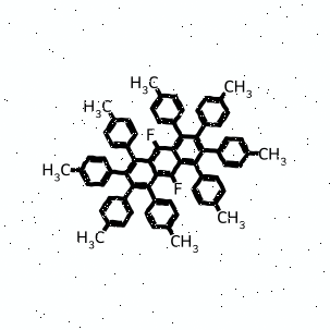 Cc1ccc(-c2c(-c3ccc(C)cc3)c(-c3ccc(C)cc3)c3c(F)c4c(-c5ccc(C)cc5)c(-c5ccc(C)cc5)c(-c5ccc(C)cc5)c(-c5ccc(C)cc5)c4c(F)c3c2-c2ccc(C)cc2)cc1